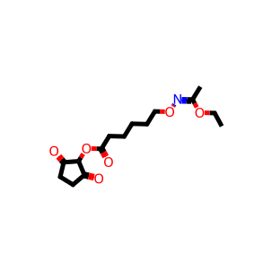 CCO/C(C)=N\OCCCCCC(=O)OC1C(=O)CCC1=O